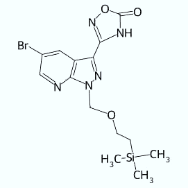 C[Si](C)(C)CCOCn1nc(-c2noc(=O)[nH]2)c2cc(Br)cnc21